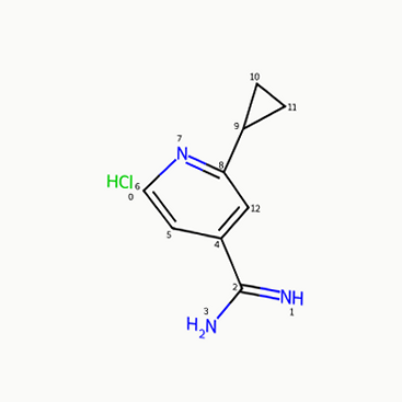 Cl.N=C(N)c1ccnc(C2CC2)c1